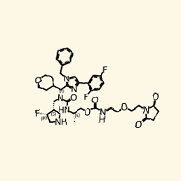 C[C@@H](COC(=O)NCCOCCN1C(=O)CCC1=O)NC(=O)N(C[C@@H]1CNC[C@@H]1F)[C@@H](c1nc(-c2cc(F)ccc2F)cn1Cc1ccccc1)C1CCOCC1